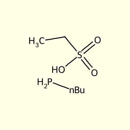 CCCCP.CCS(=O)(=O)O